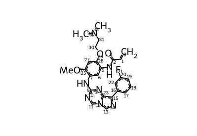 C=CC(=O)Nc1cc(Nc2ncn3cnc(-c4cccc(F)c4)c3n2)c(OC)cc1OCCN(C)C